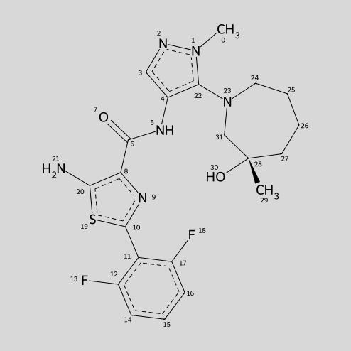 Cn1ncc(NC(=O)c2nc(-c3c(F)cccc3F)sc2N)c1N1CCCC[C@](C)(O)C1